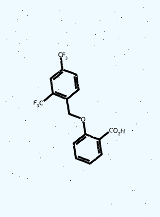 O=C(O)c1ccccc1OCc1ccc(C(F)(F)F)cc1C(F)(F)F